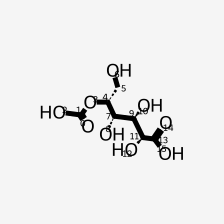 O=C(O)O[C@H](CO)[C@@H](O)[C@H](O)[C@@H](O)C(=O)O